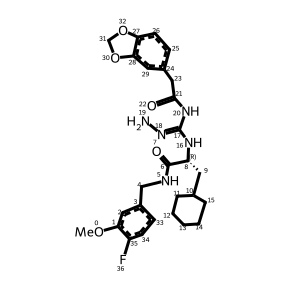 COc1cc(CNC(=O)[C@@H](CC2CCCCC2)NC(=NN)NC(=O)Cc2ccc3c(c2)OCO3)ccc1F